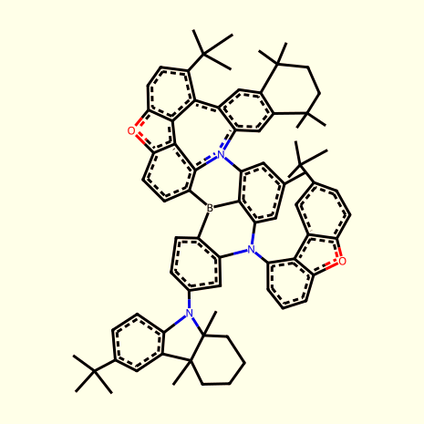 Cc1cc2c3c(c1)-n1c4cc5c(cc4c4c(C(C)(C)C)ccc6oc7ccc(c1c7c64)B3c1ccc(N3c4ccc(C(C)(C)C)cc4C4(C)CCCCC34C)cc1N2c1cccc2oc3ccc(C(C)(C)C)cc3c12)C(C)(C)CCC5(C)C